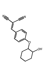 N#CC(C#N)=Cc1ccc(OC2CCCCC2O)cc1